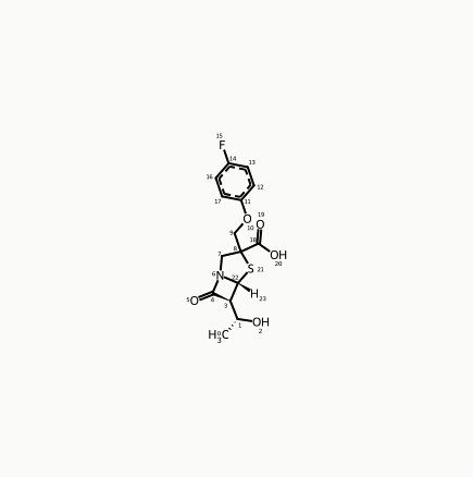 C[C@@H](O)[C@H]1C(=O)N2CC(COc3ccc(F)cc3)(C(=O)O)S[C@H]12